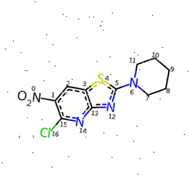 O=[N+]([O-])c1cc2sc(N3CCCCC3)nc2nc1Cl